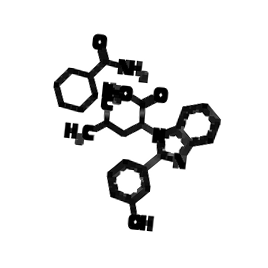 CC(C)CC(C(=O)O)n1c(-c2cccc(O)c2)nc2ccccc21.NC(=O)C1CCCCC1